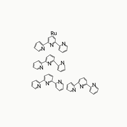 [Ru].c1ccc(-c2cccc(-c3ccccn3)n2)nc1.c1ccc(-c2cccc(-c3ccccn3)n2)nc1.c1ccc(-c2cccc(-c3ccccn3)n2)nc1.c1ccc(-c2cccc(-c3ccccn3)n2)nc1